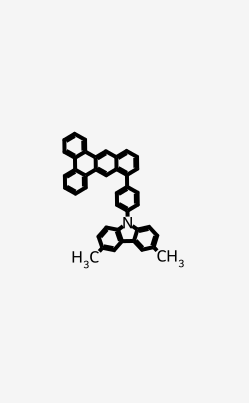 Cc1ccc2c(c1)c1cc(C)ccc1n2-c1ccc(-c2cccc3cc4c5ccccc5c5ccccc5c4cc23)cc1